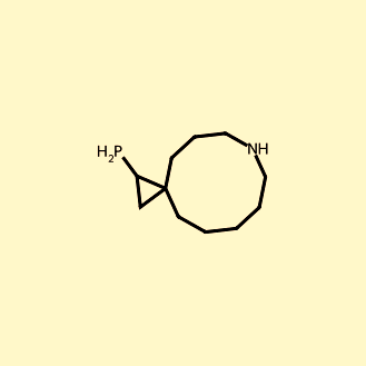 PC1CC12CCCCCNCCC2